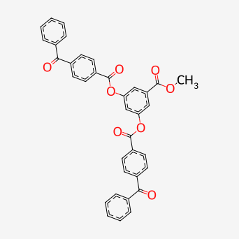 COC(=O)c1cc(OC(=O)c2ccc(C(=O)c3ccccc3)cc2)cc(OC(=O)c2ccc(C(=O)c3ccccc3)cc2)c1